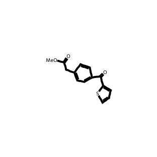 COC(=O)Cc1ccc(C(=O)c2cccs2)cc1